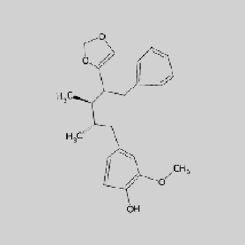 COc1cc(C[C@H](C)[C@@H](C)C(Cc2ccccc2)C2=COCO2)ccc1O